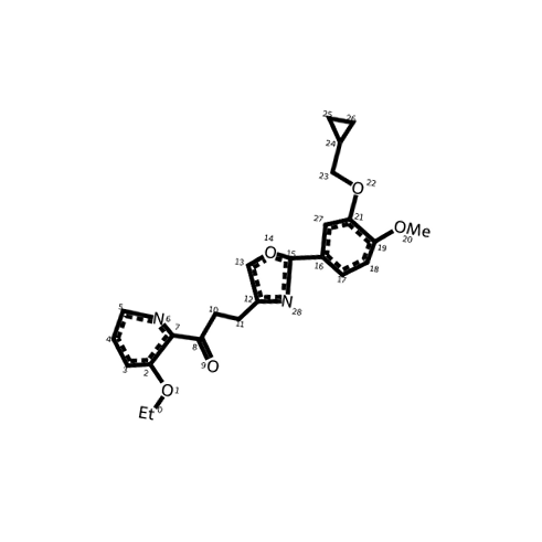 CCOc1cccnc1C(=O)CCc1coc(-c2ccc(OC)c(OCC3CC3)c2)n1